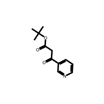 CC(C)(C)OC(=O)CC(=O)c1cccnc1